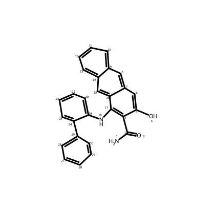 NC(=O)c1c(O)cc2cc3ccccc3cc2c1Nc1ccccc1-c1ccccc1